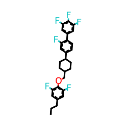 CCCc1cc(F)c(OCC2CCC(c3ccc(-c4cc(F)c(F)c(F)c4)c(F)c3)CC2)c(F)c1